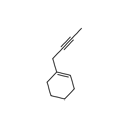 CC#CCC1=CC[CH]CC1